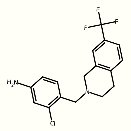 Nc1ccc(CN2CCc3ccc(C(F)(F)F)cc3C2)c(Cl)c1